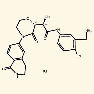 Cl.N#Cc1ccc(NC(=O)[C@H](O)[C@H]2OCCN(c3ccc4c(c3)CCNC4=O)C2=O)cc1CN